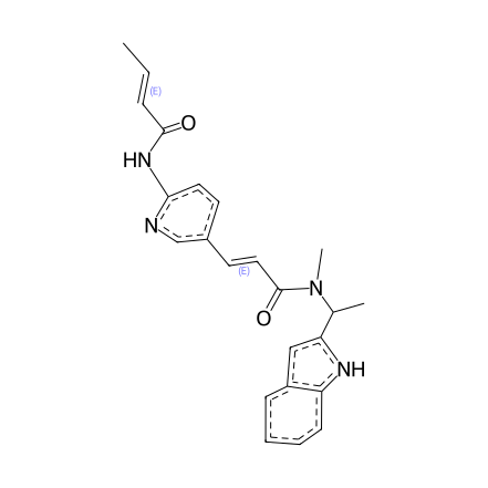 C/C=C/C(=O)Nc1ccc(/C=C/C(=O)N(C)C(C)c2cc3ccccc3[nH]2)cn1